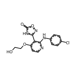 O=c1[nH]c(-c2c(OCCO)ccnc2Nc2ccc(Cl)cc2)no1